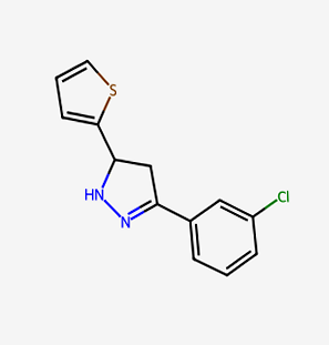 Clc1cccc(C2=NNC(c3cccs3)C2)c1